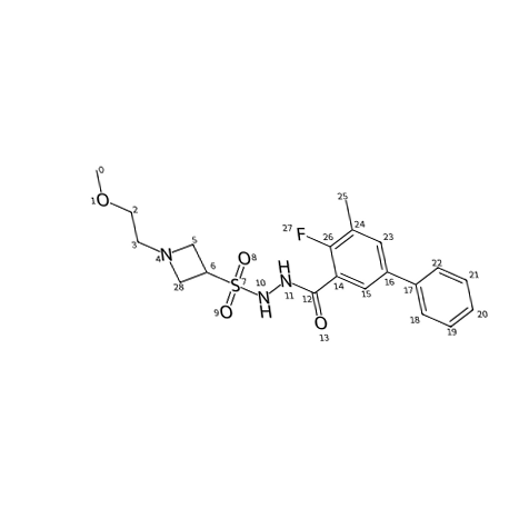 COCCN1CC(S(=O)(=O)NNC(=O)c2cc(-c3ccccc3)cc(C)c2F)C1